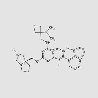 CCc1cccc2cccc(-c3ncc4c(NCC5(N(C)C)CCC5)nc(OC[C@@]56CCCN5C[C@H](F)C6)nc4c3F)c12